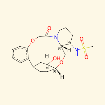 CS(=O)(=O)N[C@H]1CCCN2C(=O)COc3ccccc3C3CC[C@@H](OC[C@@H]12)[C@H](O)C3